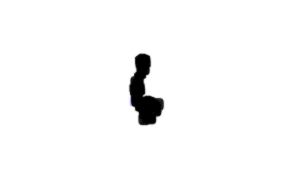 COC(=O)CCCCC(/C=C\Cc1ccc(OCCCCOc2ccccc2)cc1)Cc1ccc(C(=O)OC)cc1